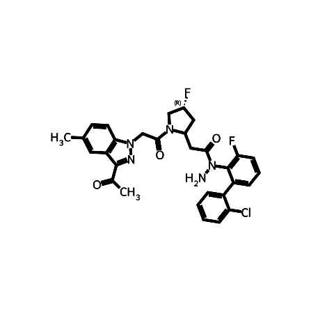 CC(=O)c1nn(CC(=O)N2C[C@H](F)CC2CC(=O)N(N)c2c(F)cccc2-c2ccccc2Cl)c2ccc(C)cc12